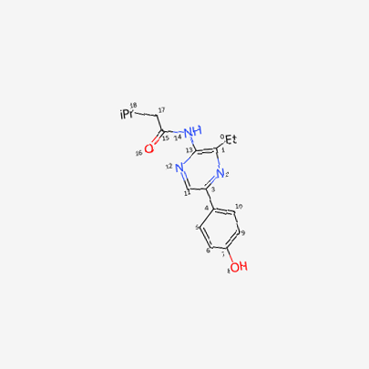 CCc1nc(-c2ccc(O)cc2)cnc1NC(=O)CC(C)C